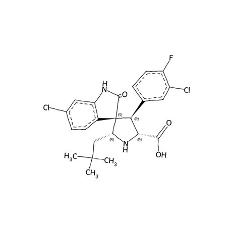 CC(C)(C)C[C@H]1N[C@@H](C(=O)O)[C@H](c2ccc(F)c(Cl)c2)[C@@]12C(=O)Nc1cc(Cl)ccc12